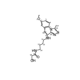 COc1ccc2c(c1)nc(NCCCCNC(=O)CO)c1nnc(C)n12